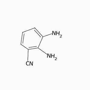 N#Cc1cccc(N)c1N